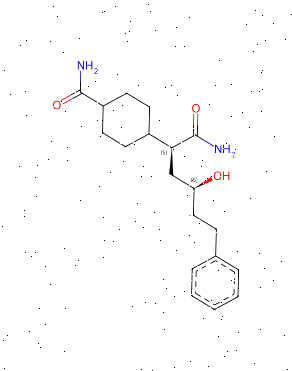 NC(=O)C1CCC([C@H](C[C@@H](O)[CH]Cc2ccccc2)C(N)=O)CC1